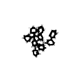 c1ccc(-c2cccc(N(c3ccccc3)c3cc4ccccc4c4c3-c3cc(-c5ccccc5)ccc3C4(c3ccccc3)c3ccccc3)c2)cc1